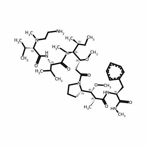 CC[C@H](C)[C@@H]([C@@H](CC(=O)N1CCC[C@H]1[C@H](OC)[C@@H](C)C(=O)N[C@@H](Cc1ccccc1)C(=O)NC)OC)N(C)C(=O)[C@@H](NC(=O)[C@H](C(C)C)N(C)CCN)C(C)C